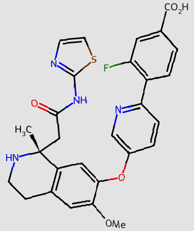 COc1cc2c(cc1Oc1ccc(-c3ccc(C(=O)O)cc3F)nc1)[C@@](C)(CC(=O)Nc1nccs1)NCC2